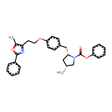 Cc1oc(-c2ccccc2)nc1CCOc1ccc(C[C@H]2C[C@@H](C(=O)O)CN2C(=O)Oc2ccccc2)cc1